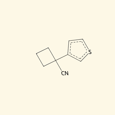 N#CC1(c2ccsc2)CCC1